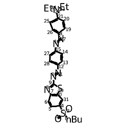 CCCCS(=O)(=O)c1ccc2nc(N=Nc3ccc(N=Nc4ccc(N(CC)CC)cc4)cc3)sc2c1